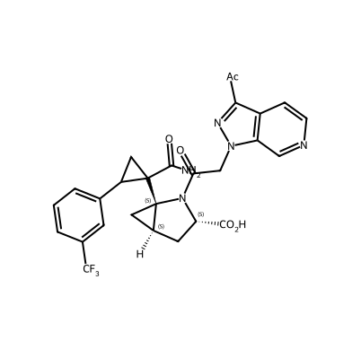 CC(=O)c1nn(CC(=O)N2[C@H](C(=O)O)C[C@H]3C[C@@]32C2(C(N)=O)CC2c2cccc(C(F)(F)F)c2)c2cnccc12